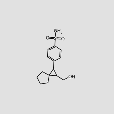 NS(=O)(=O)c1ccc(C2C(CO)C23CCCC3)cc1